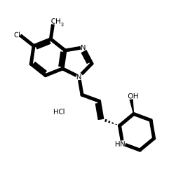 Cc1c(Cl)ccc2c1ncn2C/C=C/[C@H]1NCCC[C@@H]1O.Cl